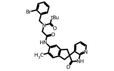 Cc1cc2c(cc1NC(=O)CN(Cc1ccccc1Br)C(=O)C(C)(C)C)CC1(C2)C(=O)Nc2ncccc21